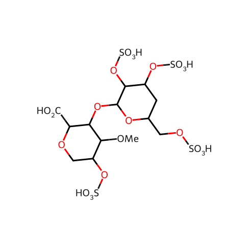 COC1C(OS(=O)(=O)O)COC(C(=O)O)C1OC1OC(COS(=O)(=O)O)CC(OS(=O)(=O)O)C1OS(=O)(=O)O